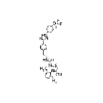 Cc1cccc(C)c1N1C(=NC(=O)NCCc2ccc(-c3ncn(-c4ccc(OC(F)(F)F)cc4)n3)cc2)SCC1C